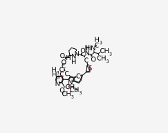 CCn1c(-c2cccnc2[C@H](C)OC)c2c3cc(ccc31)-c1csc(n1)C[C@H](NC(=O)C(NC)C(C)C)C(=O)N1CCC[C@H](N1)C(=O)OCC(C)(C)C2